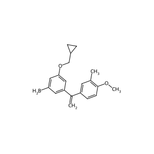 Bc1cc(OCC2CC2)cc(C(=C)c2ccc(OC)c(C)c2)c1